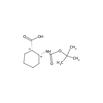 CC(C)(C)OC(=O)N[C@@H]1CCCC[C@@H]1C(=O)O